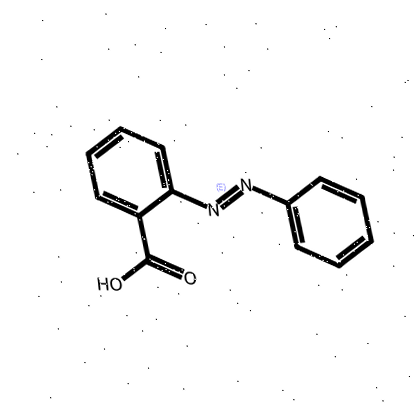 O=C(O)c1ccccc1/N=N/c1ccccc1